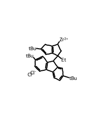 CCC1(C2c3cc(C(C)(C)C)ccc3-c3ccc(C(C)(C)C)cc32)C[CH]([Zr+2])C2=C1C=C(C(C)(C)C)C2.[Cl-].[Cl-]